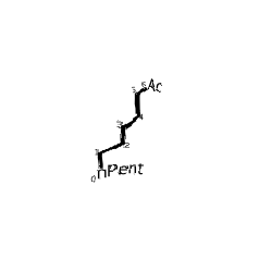 CCCCCCCCC=CC(C)=O